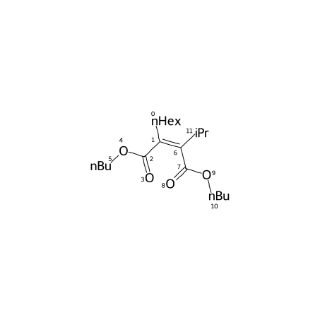 CCCCCC/C(C(=O)OCCCC)=C(/C(=O)OCCCC)C(C)C